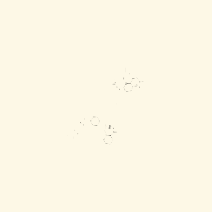 C[C@H]1CCC(C(OCCCCCn2nc(Cc3ccc(F)c(C(=O)N4CCN(C(=O)C5CC5)CC4)c3)c3ccccc3c2=O)C(F)(F)F)N1c1ccc2[nH]c(=O)cc(C(F)(F)F)c2c1